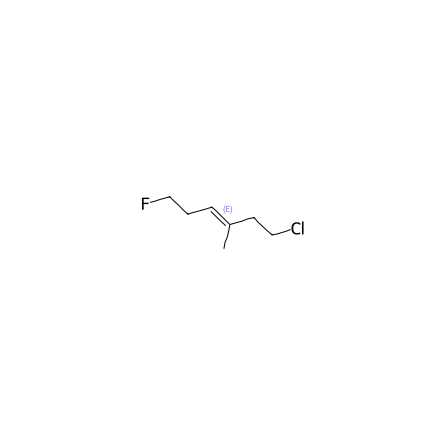 C/C(=C\CCF)CCCl